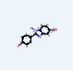 Cn1c(-c2ccc(I)cc2)nc2cc(Br)ccc21